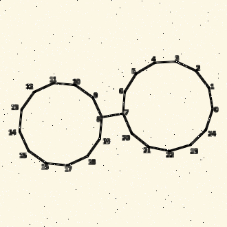 C1CCCCCCC(C2CCCCCCCCCCC2)CCCCC1